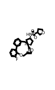 O=S(=O)(N[C@H]1CC[C@@]2(Cc3cccc(c3)-c3cccc(F)c3OCc3coc2n3)C1)C1CCOC1